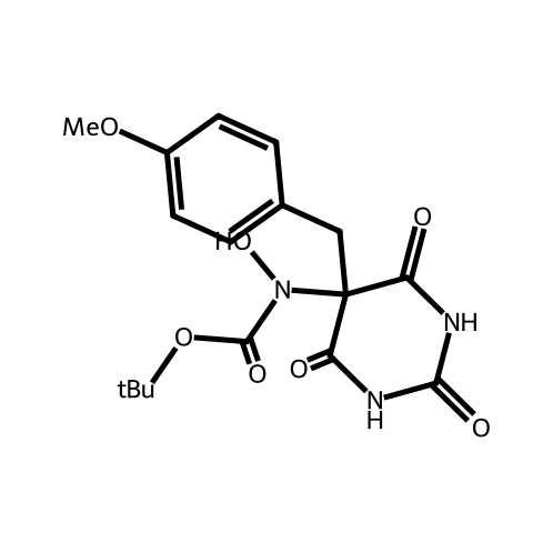 COc1ccc(CC2(N(O)C(=O)OC(C)(C)C)C(=O)NC(=O)NC2=O)cc1